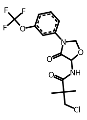 CC(C)(CCl)C(=O)NC1OCN(c2cccc(OC(F)(F)F)c2)C1=O